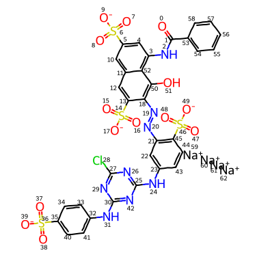 O=C(Nc1cc(S(=O)(=O)[O-])cc2cc(S(=O)(=O)[O-])c(N=Nc3cc(Nc4nc(Cl)nc(Nc5ccc(S(=O)(=O)[O-])cc5)n4)ccc3S(=O)(=O)[O-])c(O)c12)c1ccccc1.[Na+].[Na+].[Na+].[Na+]